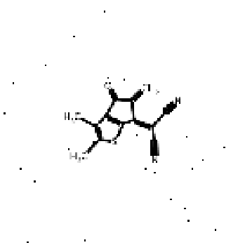 C=C1C(=O)c2c(sc(C)c2C)C1=C(C#N)C#N